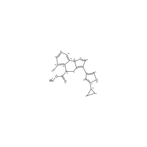 CC(C)(C)OC(=O)N1Cc2c(-c3noc(C4CC4)n3)ncn2-c2cccc(F)c21